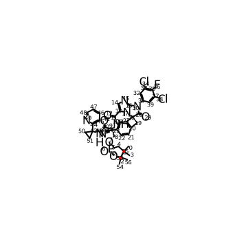 CC(C)(C)CP(=O)(OC[C@H](NC(=O)c1cnc2n1[C@]1(Cc3ccc(C#N)cc31)C(=O)N2c1cc(Cl)c(F)c(Cl)c1)C(=O)NC1(c2ccccn2)CC1)OC(C)(C)C